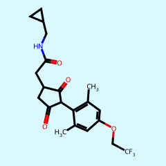 Cc1cc(OCC(F)(F)F)cc(C)c1C1C(=O)CC(CC(=O)NCC2CC2)C1=O